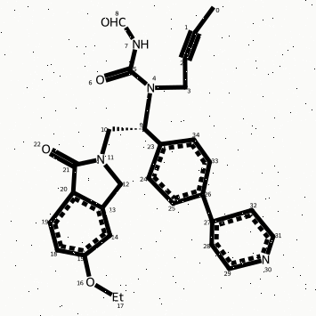 CC#CCN(C(=O)NC=O)[C@@H](CN1Cc2cc(OCC)ccc2C1=O)c1ccc(-c2ccncc2)cc1